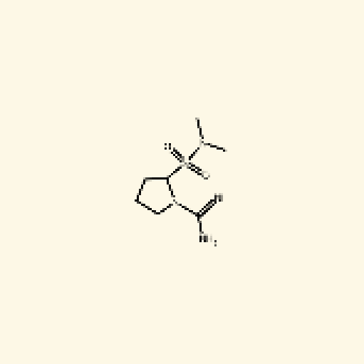 CN(C)S(=O)(=O)C1CCCN1C(=N)N